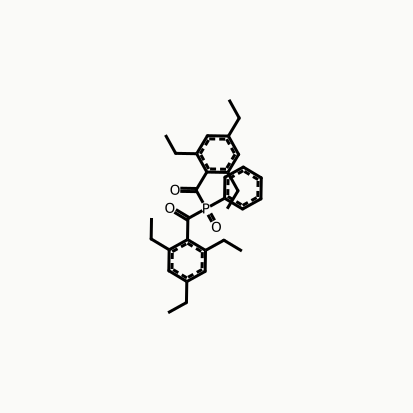 CCc1cc(CC)c(C(=O)P(=O)(C(=O)c2c(CC)cc(CC)cc2CC)c2ccccc2)c(CC)c1